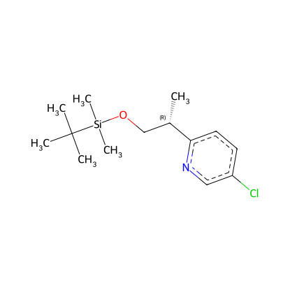 C[C@@H](CO[Si](C)(C)C(C)(C)C)c1ccc(Cl)cn1